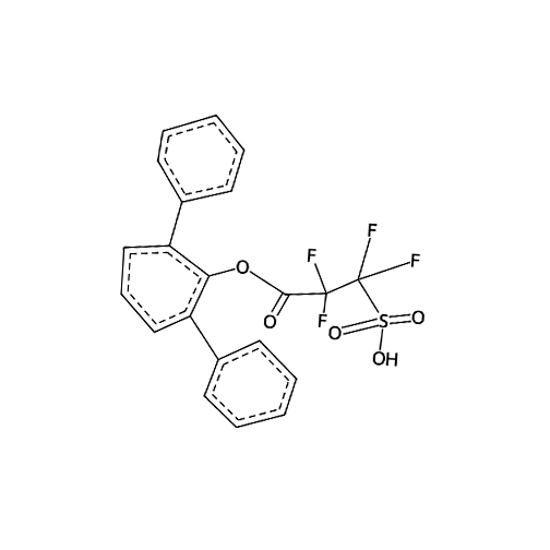 O=C(Oc1c(-c2ccccc2)cccc1-c1ccccc1)C(F)(F)C(F)(F)S(=O)(=O)O